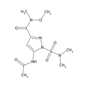 CON(C)C(=O)c1cc(NC(C)=O)n(S(=O)(=O)N(C)C)n1